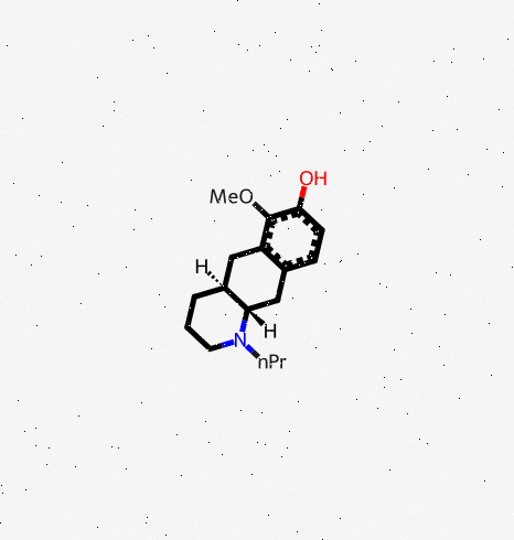 CCCN1CCC[C@H]2Cc3c(ccc(O)c3OC)C[C@@H]21